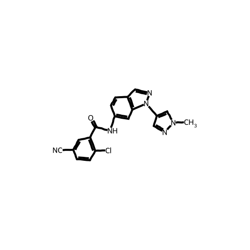 Cn1cc(-n2ncc3ccc(NC(=O)c4cc(C#N)ccc4Cl)cc32)cn1